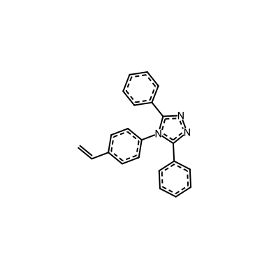 C=Cc1ccc(-n2c(-c3ccccc3)nnc2-c2ccccc2)cc1